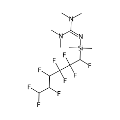 CN(C)C(=N[Si](C)(C)C(F)C(F)(F)C(F)(F)C(F)C(F)C(F)F)N(C)C